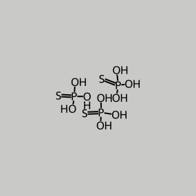 OP(O)(O)=S.OP(O)(O)=S.OP(O)(O)=S